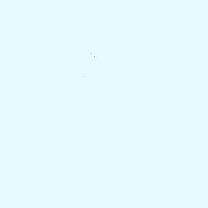 CNC(=O)C(Cc1ccccc1)C(=O)OC